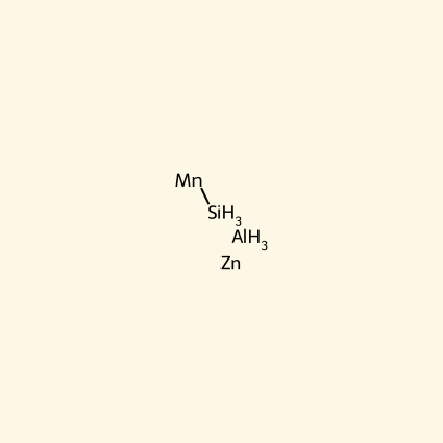 [AlH3].[SiH3][Mn].[Zn]